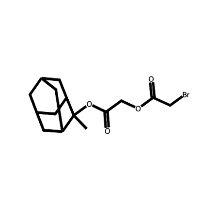 CC1(OC(=O)COC(=O)CBr)C2CC3CC(C2)CC1C3